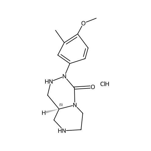 COc1ccc(N2NC[C@@H]3CNCCN3C2=O)cc1C.Cl